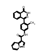 Cc1cc(NC(=O)c2cnn3ccccc23)ccc1-c1n[nH]c(=O)c2ccccc12